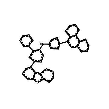 c1ccc(-c2cc(-c3cccc4sc5ccccc5c34)ccc2Nc2ccc(-c3cc4ccccc4c4ccccc34)cc2)cc1